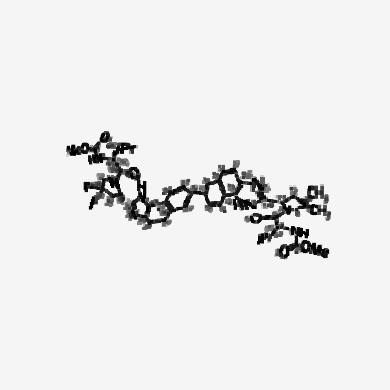 COC(=O)N[C@H](C(=O)N1C[Si](C)(C)CC1c1nc2ccc3cc(-c4ccc5c(ccc6nc([C@@H]7CC(F)(F)CN7C(=O)[C@@H](NC(=O)OC)C(C)C)[nH]c65)c4)ccc3c2[nH]1)C(C)C